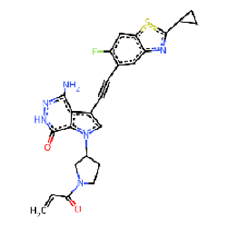 C=CC(=O)N1CC[C@H](n2cc(C#Cc3cc4nc(C5CC5)sc4cc3F)c3c(N)n[nH]c(=O)c32)C1